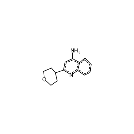 Nc1cc(C2CCOCC2)nc2ccccc12